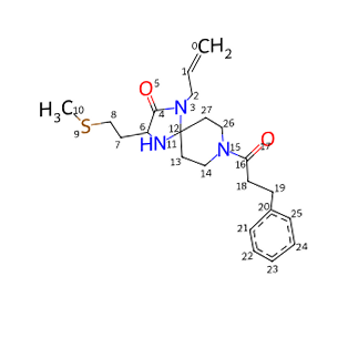 C=CCN1C(=O)C(CCSC)NC12CCN(C(=O)CCc1ccccc1)CC2